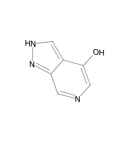 Oc1cncc2n[nH]cc12